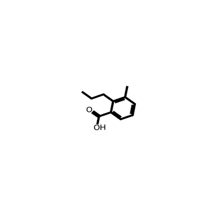 CCCc1c(C)cccc1C(=O)O